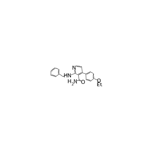 CCOc1ccc(-c2ccnc(NCCc3ccccc3)c2C(N)=O)cc1